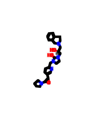 OC1N(Cc2ccc(C3OC3N3CCCC3)cn2)CCN1C[C@H](O)CN1CCc2ccccc2C1